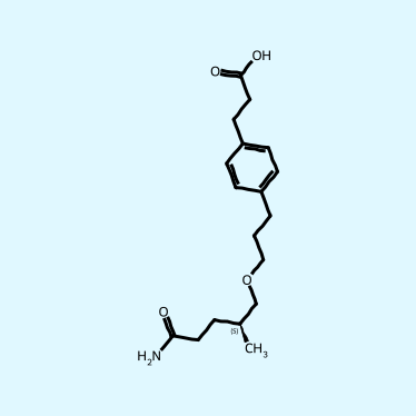 C[C@@H](CCC(N)=O)COCCCc1ccc(CCC(=O)O)cc1